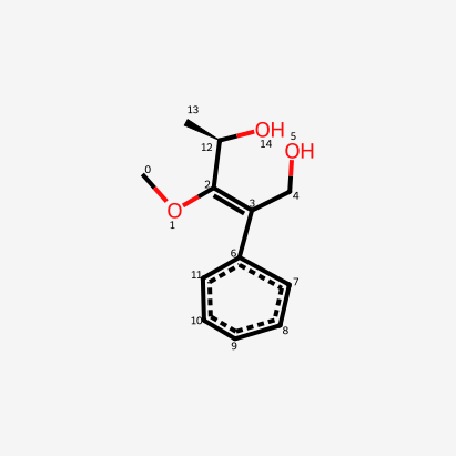 CO/C(=C(/CO)c1ccccc1)[C@@H](C)O